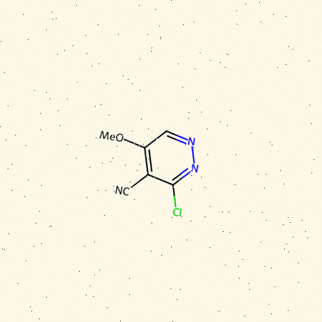 COc1cnnc(Cl)c1C#N